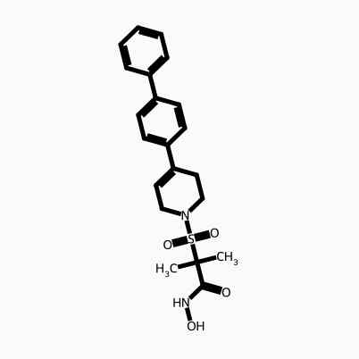 CC(C)(C(=O)NO)S(=O)(=O)N1CC=C(c2ccc(-c3ccccc3)cc2)CC1